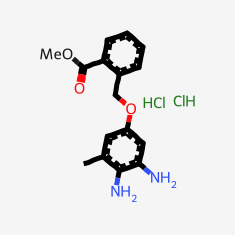 COC(=O)c1ccccc1COc1cc(C)c(N)c(N)c1.Cl.Cl